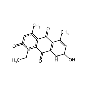 CCn1c2c(c(C)cc1=O)C(=O)C1=C(NC(O)C=C1C)C2=O